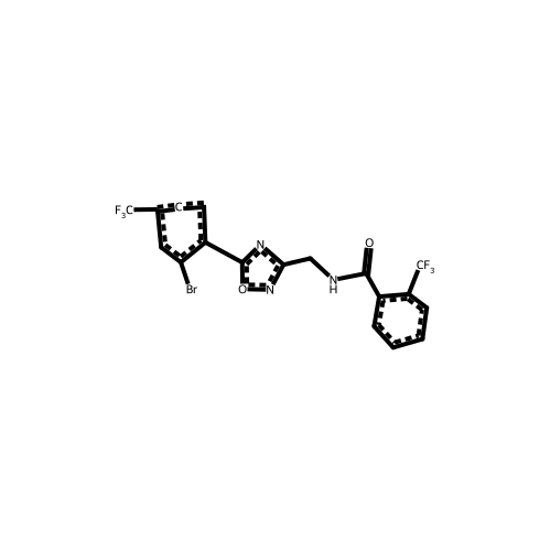 O=C(NCc1noc(-c2ccc(C(F)(F)F)cc2Br)n1)c1ccccc1C(F)(F)F